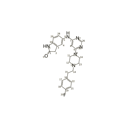 O=C1Cc2cc(Nc3cc(N4CCN(CCc5ccc(F)cc5)CC4)ncn3)ccc2N1